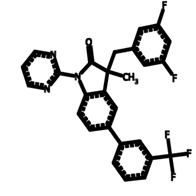 CC1(Cc2cc(F)cc(F)c2)C(=O)N(c2ncccn2)c2ccc(-c3cccc(C(F)(F)F)c3)cc21